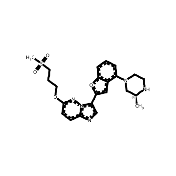 C[C@H]1CN(c2cccc3oc(-c4cnc5ccc(OCCCS(C)(=O)=O)nn45)cc23)CCN1